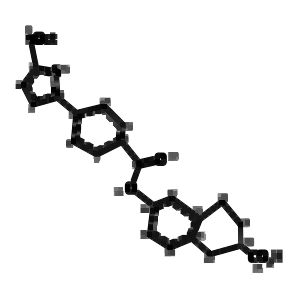 CCCCCCCCc1ccc(-c2ccc(C(=O)Oc3ccc4c(c3)CCC(C(=O)O)C4)cc2)s1